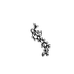 O=C(Nc1nccc2nn(Cc3cnc(OCC(F)F)c(F)c3)cc12)C1CC1